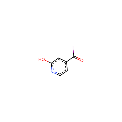 O=C(I)c1ccnc(O)c1